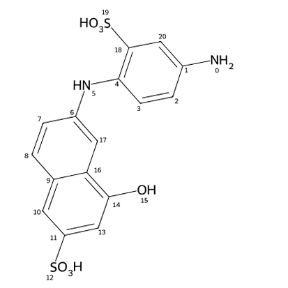 Nc1ccc(Nc2ccc3cc(S(=O)(=O)O)cc(O)c3c2)c(S(=O)(=O)O)c1